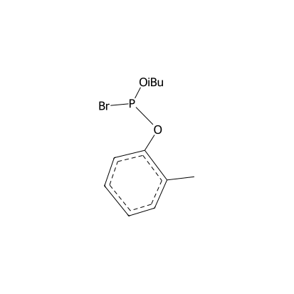 Cc1ccccc1OP(Br)OCC(C)C